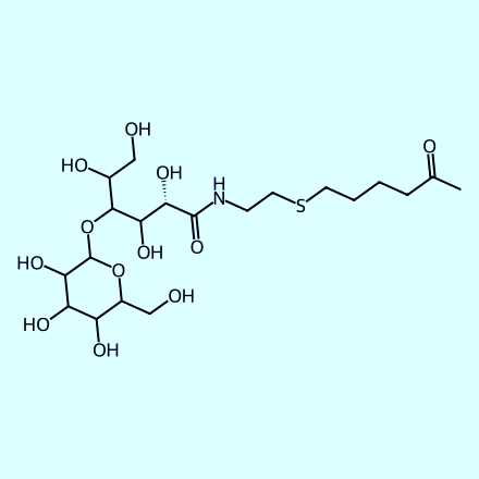 CC(=O)CCCCSCCNC(=O)[C@@H](O)C(O)C(OC1OC(CO)C(O)C(O)C1O)C(O)CO